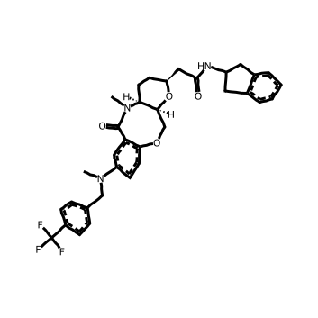 CN(Cc1ccc(C(F)(F)F)cc1)c1ccc2c(c1)C(=O)N(C)[C@H]1CC[C@@H](CC(=O)NC3Cc4ccccc4C3)O[C@H]1CO2